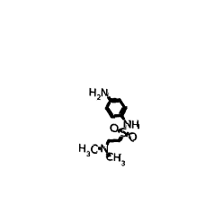 CN(C)CCS(=O)(=O)Nc1ccc(N)cc1